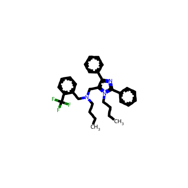 CCCCN(Cc1ccccc1C(F)(F)F)Cc1c(-c2ccccc2)nc(-c2ccccc2)n1CCCC